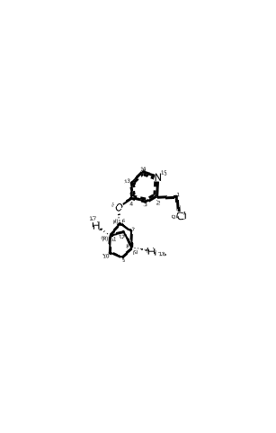 ClCc1cc(O[C@@H]2C[C@H]3CC[C@@H]2C3)ccn1